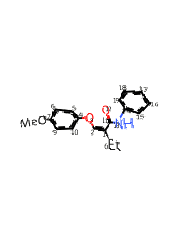 CCC(=COc1ccc(OC)cc1)C(=O)Nc1ccccc1